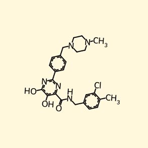 Cc1ccc(CNC(=O)c2nc(-c3ccc(CN4CCN(C)CC4)cc3)nc(O)c2O)cc1Cl